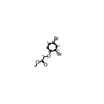 COC(=O)COc1[c]cc(Br)cc1Br